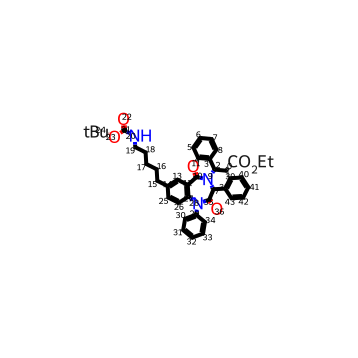 CCOC(=O)CC(c1ccccc1)N1C(=O)c2cc(CCCCCNC(=O)OC(C)(C)C)ccc2N(c2ccccc2)C(=O)C1c1ccccc1